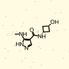 CNc1[nH]ncc1C(=O)N[C@H]1C[C@H](O)C1